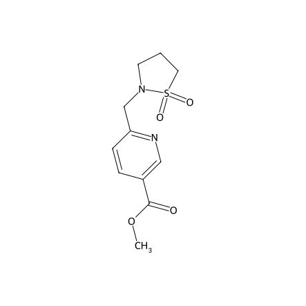 COC(=O)c1ccc(CN2CCCS2(=O)=O)nc1